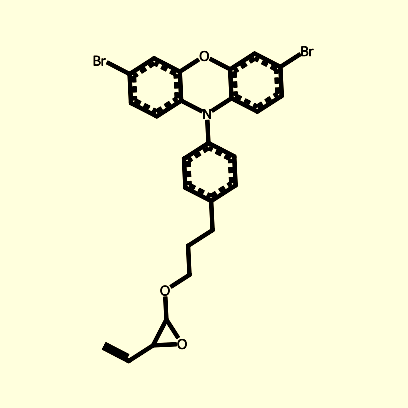 C=CC1OC1OCCCc1ccc(N2c3ccc(Br)cc3Oc3cc(Br)ccc32)cc1